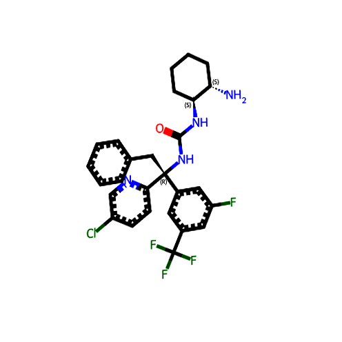 N[C@H]1CCCC[C@@H]1NC(=O)N[C@](Cc1ccccc1)(c1cc(F)cc(C(F)(F)F)c1)c1ccc(Cl)cn1